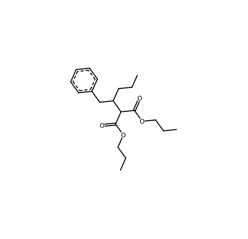 CCCOC(=O)C(C(=O)OCCC)C(CCC)Cc1ccccc1